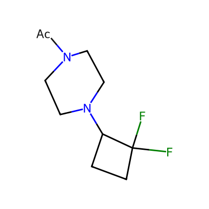 CC(=O)N1CCN(C2CCC2(F)F)CC1